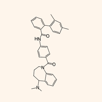 Cc1ccc(-c2ccccc2C(=O)Nc2ccc(C(=O)N3CCCC(N(C)C)c4ccccc43)cc2)c(C)c1